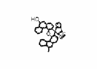 Cc1cc2ccc3c(c2c2ccccc12)Oc1c(ccc2cc(O)c4ccccc4c12)C31c2ccccc2-c2ccccc21